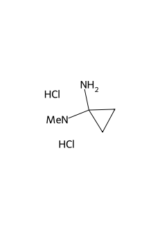 CNC1(N)CC1.Cl.Cl